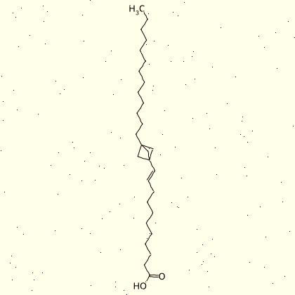 CCCCCCCCCCCCCC12CC(/C=C/CCCCCCCCC(=O)O)(C1)C2